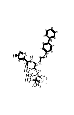 C[C@H](O[Si](C)(C)C(C)(C)C)[C@@H](CCOc1ccc(-c2ccccc2)cc1)NC(=O)c1c[nH]cn1